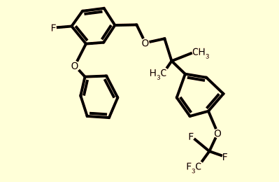 CC(C)(COCc1ccc(F)c(Oc2ccccc2)c1)c1ccc(OC(F)(F)C(F)(F)F)cc1